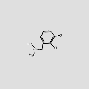 C[C@H](N)Cc1cccc(Cl)c1Cl